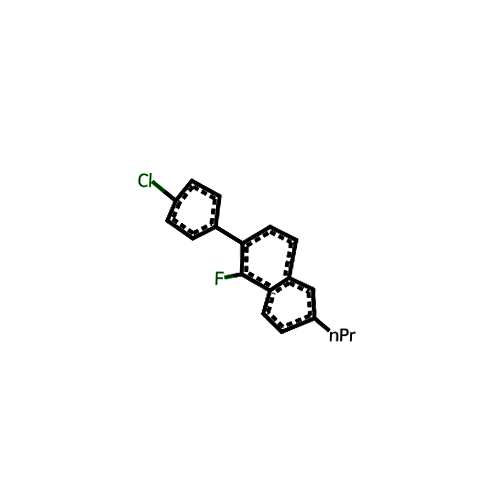 CCCc1ccc2c(F)c(-c3ccc(Cl)cc3)ccc2c1